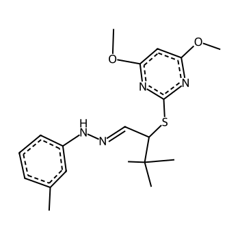 COc1cc(OC)nc(SC(C=NNc2cccc(C)c2)C(C)(C)C)n1